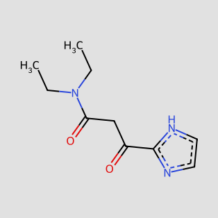 CCN(CC)C(=O)CC(=O)c1ncc[nH]1